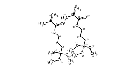 C=C(C)C(=O)OCCCC([SiH3])(OC)OC.C=C(C)C(=O)OCCC[Si](OC)(OC)OC